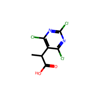 CC(C(=O)O)c1c(Cl)nc(Cl)nc1Cl